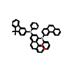 CC1(C)c2ccccc2-c2cc(N(c3ccccc3)c3cc(N(c4ccccc4)c4ccc5ccc6ccccc6c5c4)c4c(ccc5ccccc54)c3)ccc21